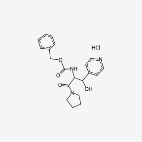 Cl.O=C(NC(C(=O)N1CCCC1)C(O)c1ccncc1)OCc1ccccc1